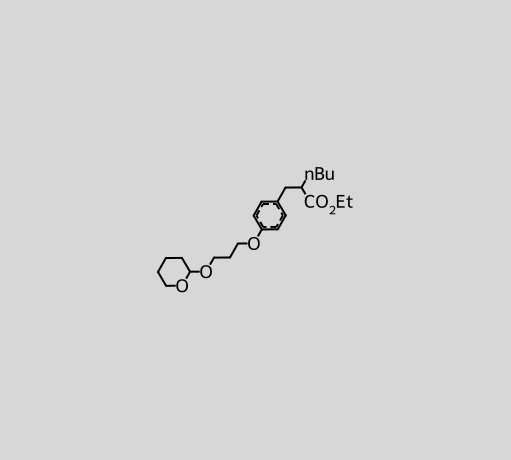 CCCCC(Cc1ccc(OCCCOC2CCCCO2)cc1)C(=O)OCC